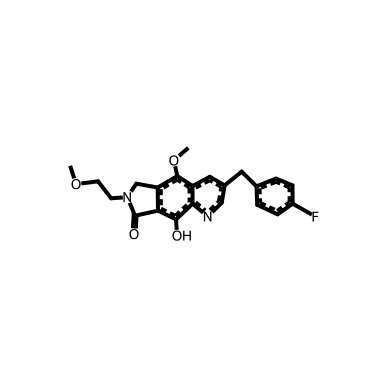 COCCN1Cc2c(c(O)c3ncc(Cc4ccc(F)cc4)cc3c2OC)C1=O